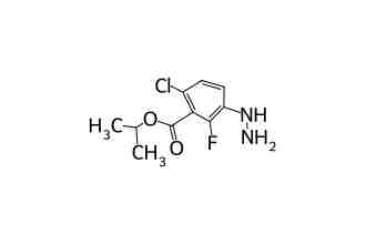 CC(C)OC(=O)c1c(Cl)ccc(NN)c1F